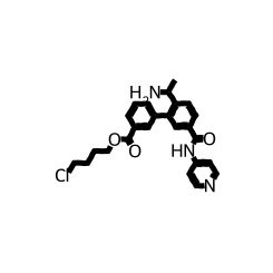 CC(N)c1ccc(C(=O)Nc2ccncc2)cc1-c1cccc(C(=O)OCCCCCl)c1